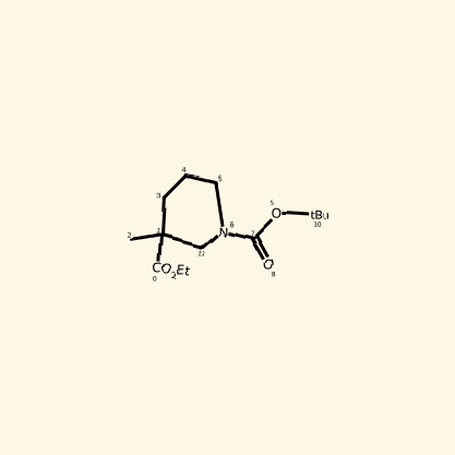 CCOC(=O)C1(C)CCCN(C(=O)OC(C)(C)C)C1